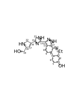 CCc1cc(O)ccc1-c1ccc2c(-c3nc(C4=CC(CO)NC4)c[nH]3)n[nH]c2c1F